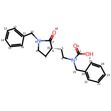 O=C(O)N(CC[C@@H]1CCN(Cc2ccccc2)C1=O)Cc1ccccc1